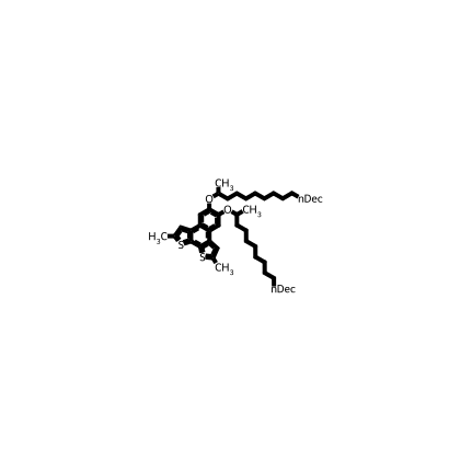 CCCCCCCCCCCCCCCCCCC(C)Oc1cc2c(cc1OC(C)CCCCCCCCCCCCCCCCCC)c1cc(C)sc1c1sc(C)cc21